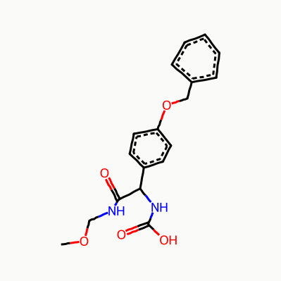 COCNC(=O)C(NC(=O)O)c1ccc(OCc2ccccc2)cc1